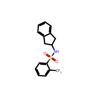 O=S(=O)(NC1Cc2c[c]ccc2C1)c1ccccc1C(F)(F)F